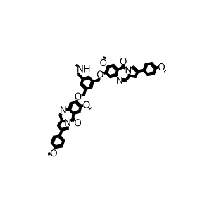 CNCc1cc(COc2cc3c(cc2OC)C(=O)N2C=C(c4ccc(OC)cc4)CC2C=N3)cc(COc2cc3c(cc2OC)C(=O)N2C=C(c4ccc(OC)cc4)CC2C=N3)c1